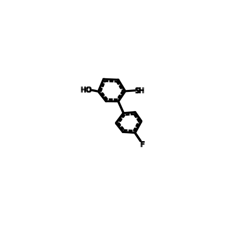 Oc1ccc(S)c(-c2ccc(F)cc2)c1